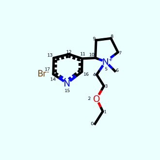 CCOCC[N+]1(C)CCCC1c1cccnc1.[Br-]